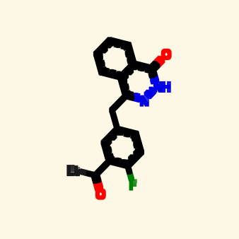 CCC(=O)c1cc(Cc2n[nH]c(=O)c3ccccc23)ccc1F